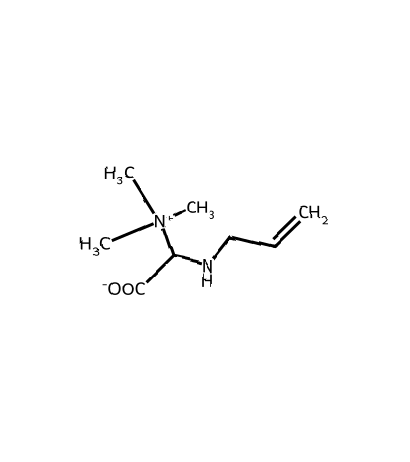 C=CCNC(C(=O)[O-])[N+](C)(C)C